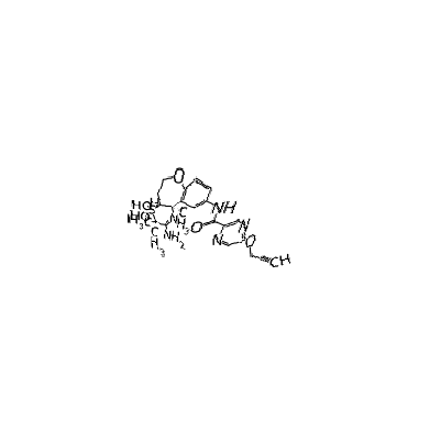 C#CCOc1cnc(C(=O)Nc2ccc3c(c2)[C@@]2(C)N=C(N)C(C)(C)S(O)(O)[C@@H]2CCO3)cn1